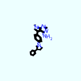 Cn1cc(-c2ccc(N3CCC(c4ccccc4)C3)cc2)c2c(N)ncnc21